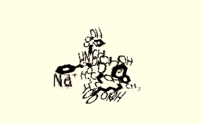 CCOC(=O)[C@H](CCc1ccccc1)N[C@@H](C)C(=O)N1CCC[C@H]1C(=O)O.CC[C@H](C)C(=O)O[C@H]1C[C@H](O)C=C2C=C[C@H](C)[C@H](CC[C@@H](O)C[C@@H](O)CC(=O)[O-])[C@H]21.[Na+]